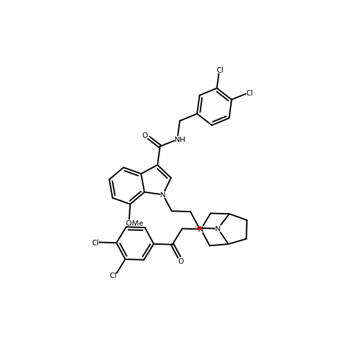 COc1cccc2c(C(=O)NCc3ccc(Cl)c(Cl)c3)cn(CCCN3C4CCC3CN(CC(=O)c3ccc(Cl)c(Cl)c3)C4)c12